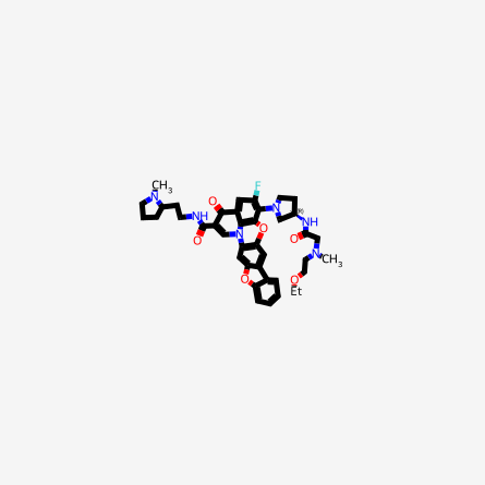 CCOCCN(C)CC(=O)N[C@@H]1CCN(c2c(F)cc3c(=O)c(C(=O)NCCC4CCCN4C)cn4c3c2Oc2cc3c(cc2-4)oc2ccccc23)C1